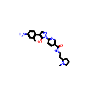 Cc1cc(N)ccc1-c1cnn(-c2ccc(C(=O)NCCC3CCCN3C)cn2)c1O